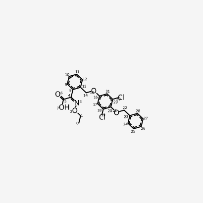 CCON=C(C(=O)O)c1ccccc1COc1cc(Cl)c(OCc2ccccc2)c(Cl)c1